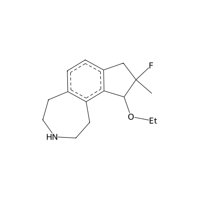 CCOC1c2c(ccc3c2CCNCC3)CC1(C)F